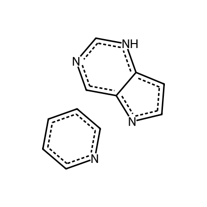 c1cc2[nH]cncc-2n1.c1ccncc1